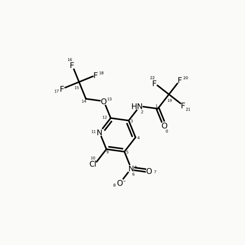 O=C(Nc1cc([N+](=O)[O-])c(Cl)nc1OCC(F)(F)F)C(F)(F)F